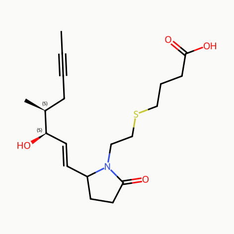 CC#CC[C@H](C)[C@H](O)C=CC1CCC(=O)N1CCSCCCC(=O)O